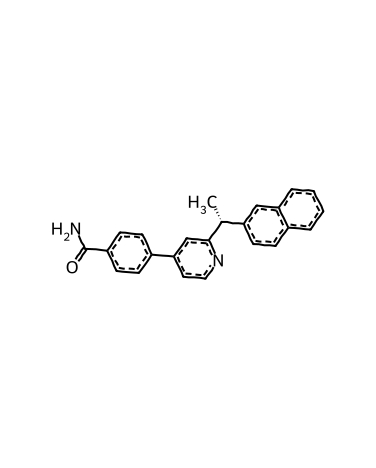 C[C@H](c1ccc2ccccc2c1)c1cc(-c2ccc(C(N)=O)cc2)ccn1